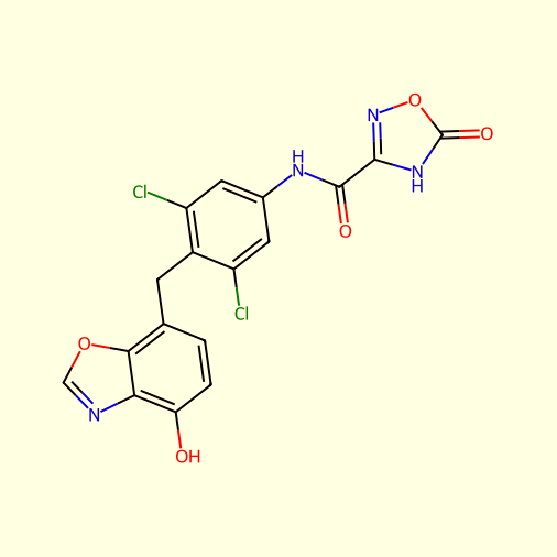 O=C(Nc1cc(Cl)c(Cc2ccc(O)c3ncoc23)c(Cl)c1)c1noc(=O)[nH]1